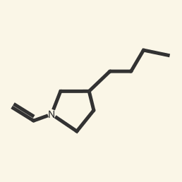 C=CN1CCC(CCCC)C1